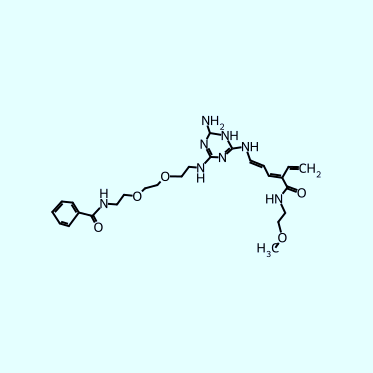 C=C/C(=C\C=C\NC1=NC(NCCOCCOCCNC(=O)c2ccccc2)=NC(N)N1)C(=O)NCCOC